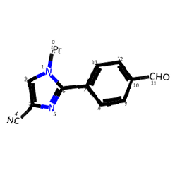 CC(C)n1cc(C#N)nc1-c1ccc(C=O)cc1